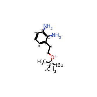 CC(C)(C)[Si](C)(C)OCCc1cccc(N)c1N